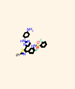 CC(C)c1nc(-c2ccc(F)c(NS(=O)(=O)c3ccccc3F)c2)c(-c2ccnc(N[C@H]3CC[C@H](N)CC3)n2)s1